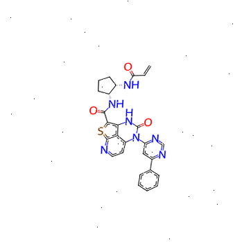 C=CC(=O)N[C@H]1CCC[C@H]1NC(=O)c1sc2nccc3c2c1NC(=O)N3c1cc(-c2ccccc2)ncn1